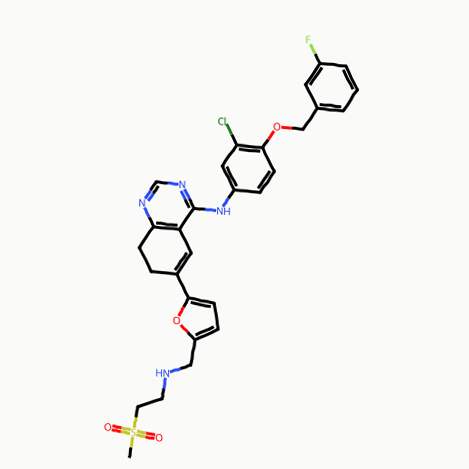 CS(=O)(=O)CCNCc1ccc(C2=Cc3c(ncnc3Nc3ccc(OCc4cccc(F)c4)c(Cl)c3)CC2)o1